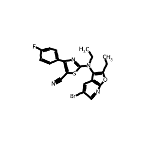 CCc1oc2ncc(Br)cc2c1N(CC)c1nc(-c2ccc(F)cc2)c(C#N)s1